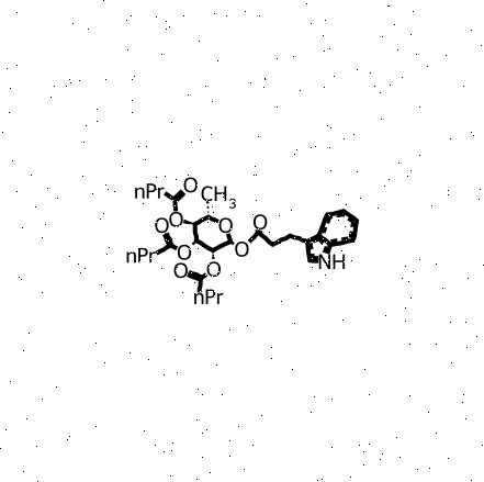 CCCC(=O)O[C@@H]1[C@@H](OC(=O)CCC)[C@H](C)O[C@H](OC(=O)CCc2c[nH]c3ccccc23)[C@@H]1OC(=O)CCC